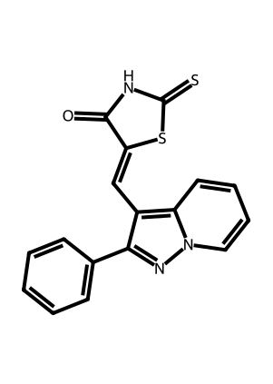 O=C1NC(=S)SC1=Cc1c(-c2ccccc2)nn2ccccc12